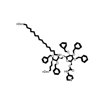 CCCCCCCCCCCCCCCCCCCCCCCCCCN[C@@H](CO[C@@H]1O[C@H](COC(=O)Nc2ccncc2)[C@H](OCc2ccccc2)[C@H](OCc2ccccc2)[C@H]1OCc1ccccc1)[C@H](OCc1ccccc1)[C@@H](CCCCCCCCCCCCCC)OCc1ccccc1